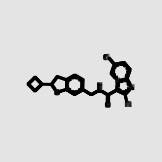 CCc1nc2ccc(Cl)cn2c1C(=O)NCc1ccc2c(c1)OC(C1CCC1)C2